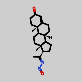 C/C(=N\N=O)[C@H]1CCC2[C@@H]3CCC4=CC(=O)CC[C@]4(C)C3CC[C@@]21C